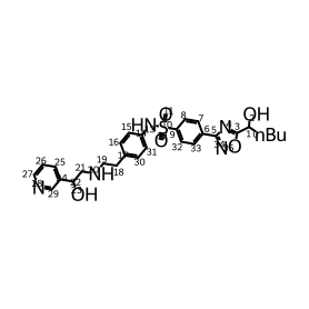 CCCCC(O)c1nc(-c2ccc(S(=O)(=O)Nc3ccc(CCNCC(O)c4cccnc4)cc3)cc2)no1